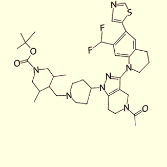 CC(=O)N1CCc2c(c(N3CCCc4cc(-c5cncs5)c(C(F)F)cc43)nn2C2CCN(CC3C(C)CN(C(=O)OC(C)(C)C)CC3C)CC2)C1